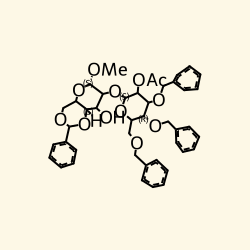 CO[C@H]1OC2COC(c3ccccc3)O[C@H]2C(O)C1O[C@@H]1OC(COCc2ccccc2)[C@@H](OCc2ccccc2)C(OCc2ccccc2)C1OC(C)=O